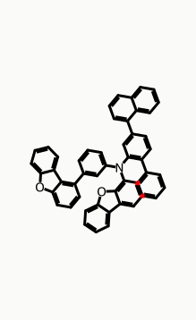 c1ccc(-c2ccc(-c3cccc4ccccc34)cc2N(c2cccc(-c3cccc4oc5ccccc5c34)c2)c2cccc3c2oc2ccccc23)cc1